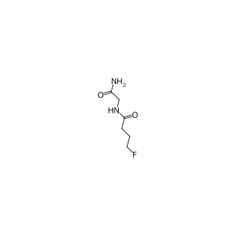 NC(=O)CNC(=O)CCCF